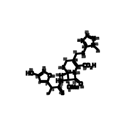 CO[C@@]1(NC(=S)C(C)c2cc(O)no2)C(=O)N2C(C(=O)O)=C(CSc3nnnn3C)CS[C@H]21